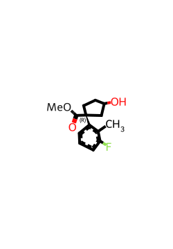 COC(=O)[C@]1(c2cccc(F)c2C)CCC(O)C1